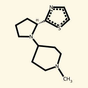 CN1CCC(N2CCC[C@@H]2c2nccs2)CC1